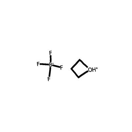 C1C[OH+]C1.F[B-](F)(F)F